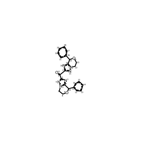 O=C(c1nc2n(n1)CCOC2c1ccccc1)c1nc2n(n1)CCOC2c1ccccc1